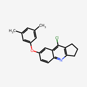 Cc1cc(C)cc(Oc2ccc3nc4c(c(Cl)c3c2)CCC4)c1